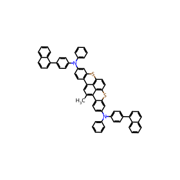 Cc1cc2c3c(ccc4c3c1-c1ccc(N(c3ccccc3)c3ccc(-c5cccc6ccccc56)cc3)cc1S4)Sc1cc(N(c3ccccc3)c3ccc(-c4cccc5ccccc45)cc3)ccc1-2